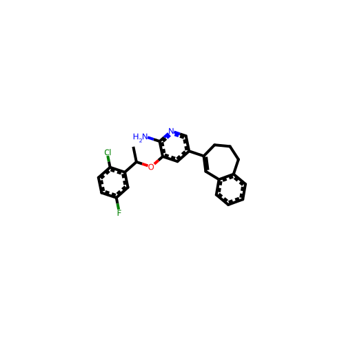 CC(Oc1cc(C2=Cc3ccccc3CCC2)cnc1N)c1cc(F)ccc1Cl